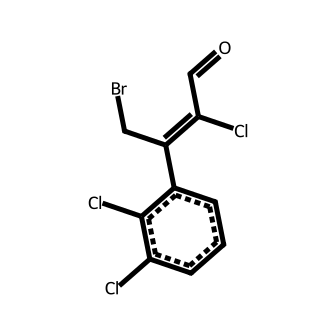 O=CC(Cl)=C(CBr)c1cccc(Cl)c1Cl